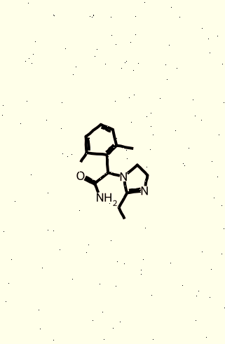 CCC1=NCCN1C(C(N)=O)c1c(C)cccc1C